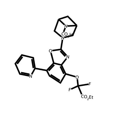 CCOC(=O)C(F)(F)Oc1ccc(-c2ccccn2)c2oc(N3CC4CC(C3)N4C(=O)O)nc12